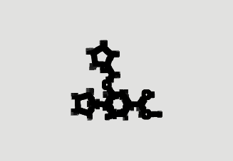 COC(=O)c1cnc(N2CCCC2)c(OCC2CCCC2)n1